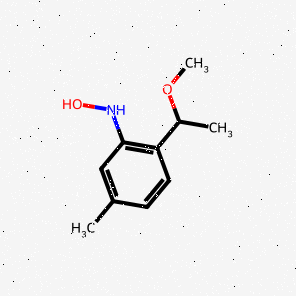 COC(C)c1ccc(C)cc1NO